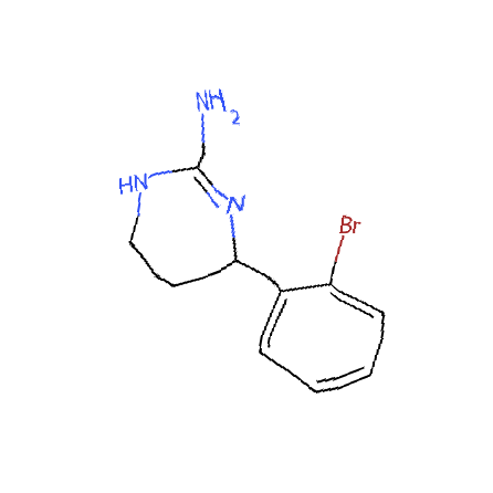 NC1=NC(c2ccccc2Br)CCN1